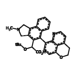 CN1Cc2c(C(OC(C)(C)C)C(=O)O)c(-c3ccc4c5c(ccnc35)CCO4)c3ccccc3c2C1